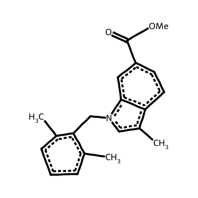 COC(=O)c1ccc2c(C)cn(Cc3c(C)cccc3C)c2c1